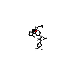 CC(C)CN(C(=O)Cc1ccc(Cl)c(Cl)c1)C1CC[C@@]2(O)[C@H]3Cc4cccc5c4[C@@]2(CCN3CC2CC2)C1O5